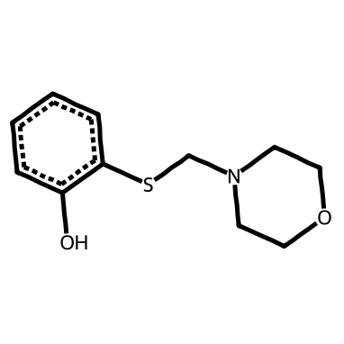 Oc1ccccc1SCN1CCOCC1